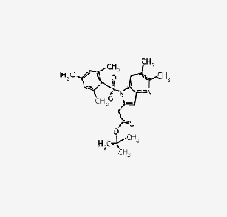 Cc1cc(C)c(S(=O)(=O)n2c(CC(=O)OC(C)(C)C)cc3nc(C)c(C)cc32)c(C)c1